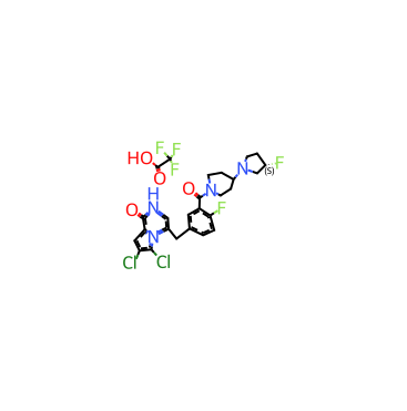 O=C(O)C(F)(F)F.O=C(c1cc(Cc2c[nH]c(=O)c3cc(Cl)c(Cl)n23)ccc1F)N1CCC(N2CC[C@H](F)C2)CC1